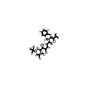 CC(C)C(=O)[C@@H](Cc1ccccc1)N(C)C(C)CCC(C)C(=O)[C@H](COC(C)(C)C)N(C)C(C)C